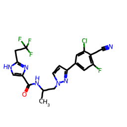 CC(Cn1ccc(-c2cc(F)c(C#N)c(Cl)c2)n1)NC(=O)c1c[nH]c(CC(F)(F)F)n1